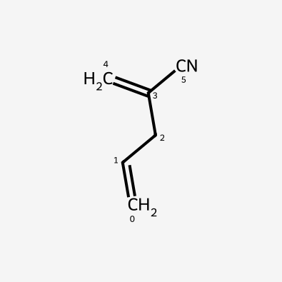 C=CCC(=C)C#N